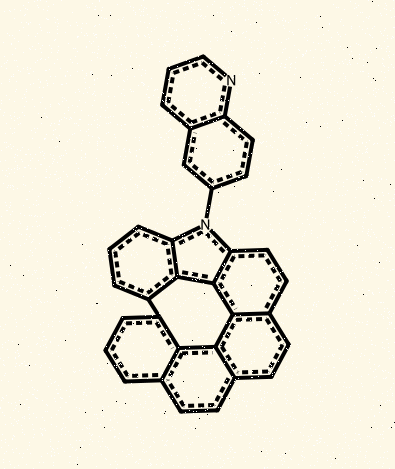 c1cnc2ccc(-n3c4cccc5c4c4c6c(ccc7ccc8cccc-5c8c76)ccc43)cc2c1